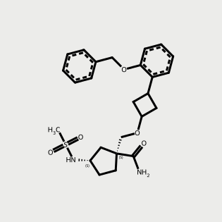 CS(=O)(=O)N[C@H]1CC[C@](COC2CC(c3ccccc3OCc3ccccc3)C2)(C(N)=O)C1